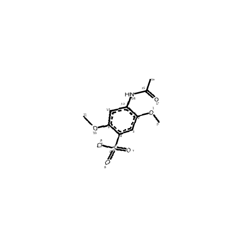 COc1cc(S(=O)(=O)Cl)c(OC)cc1NC(C)=O